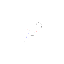 CC1=C2NC(C(=O)O)=NN2C(=O)C(Cc2ccc(F)c(F)c2)C1=O